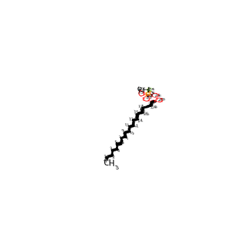 CCCCCC=CCC=CCC=CCC=CCCCC(=O)OP(=O)(F)OC